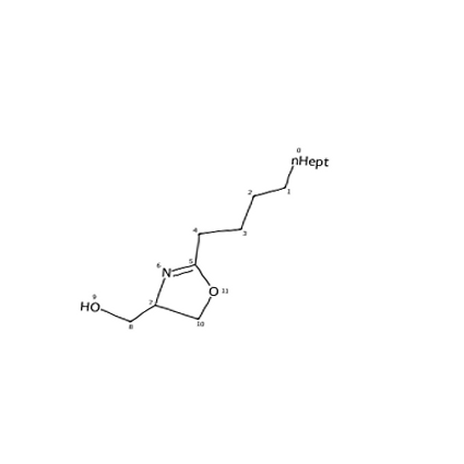 CCCCCCCCCCCC1=NC(CO)CO1